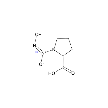 O=C(O)C1CCCN1/[N+]([O-])=N\O